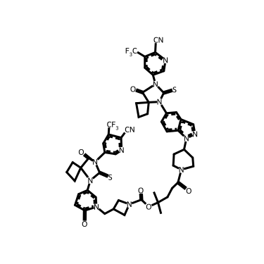 CC(C)(CCC(=O)N1CCC(n2ncc3cc(N4C(=S)N(c5cnc(C#N)c(C(F)(F)F)c5)C(=O)C45CCC5)ccc32)CC1)OC(=O)N1CC(Cn2cc(N3C(=S)N(c4cnc(C#N)c(C(F)(F)F)c4)C(=O)C34CCC4)ccc2=O)C1